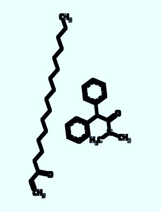 C=CC(=O)CCCCCCCCCCCCCCC.CN(C)C(=O)C(c1ccccc1)c1ccccc1